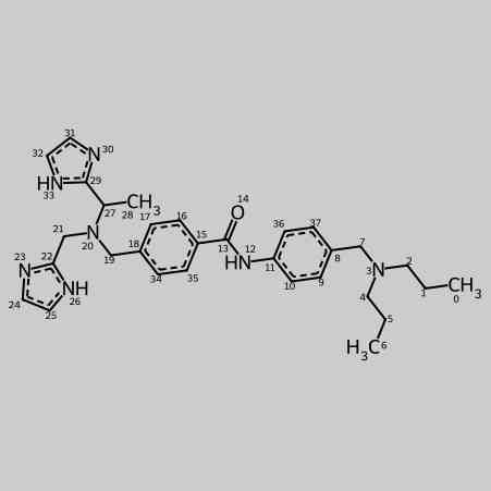 CCCN(CCC)Cc1ccc(NC(=O)c2ccc(CN(Cc3ncc[nH]3)C(C)c3ncc[nH]3)cc2)cc1